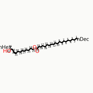 CCCCCCCCCCCCCCCCCCCCCCCCCCCCCC(=O)OCCCCCCCC/C=C\C[C@H](O)CCCCCC